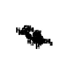 CCOC(=O)C1=C(C(F)(F)F)NC(C)=C(C(=O)OCCc2ccc(OCC(O)C(N)C(C)C)cc2)C1c1cccc([N+](=O)[O-])c1